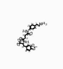 NN=Cc1ccc(NC(=O)CCC(=O)NC(Cc2ccc3c(c2)OCO3)C(=O)O)cc1